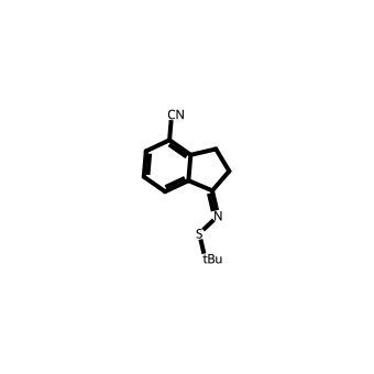 CC(C)(C)S/N=C1/CCc2c(C#N)cccc21